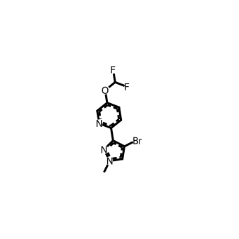 Cn1cc(Br)c(-c2ccc(OC(F)F)cn2)n1